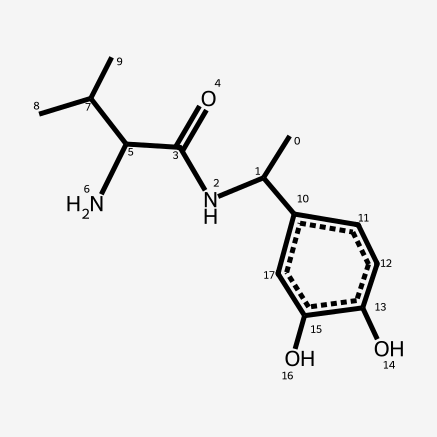 CC(NC(=O)C(N)C(C)C)c1ccc(O)c(O)c1